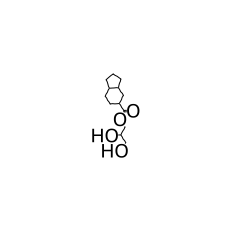 O=C(OCC(O)CO)C1CCC2CCCC2C1